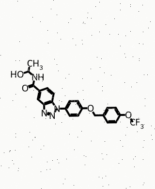 CC(O)NC(=O)c1ccc2c(c1)nnn2-c1ccc(OCc2ccc(OC(F)(F)F)cc2)cc1